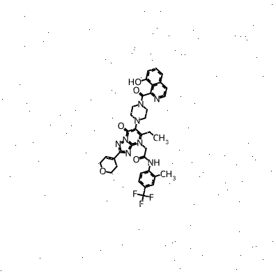 CCc1c(N2CCN(C(=O)c3nccc4cccc(O)c34)CC2)c(=O)n2nc(C3=CCOCC3)nc2n1CC(=O)Nc1ccc(C(F)(F)F)cc1C